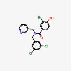 O=C(c1ccc(O)c(Br)c1)N(Cc1cccnc1)Cc1cc(Cl)cc(Cl)c1